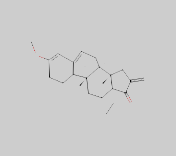 C=C1C[C@H]2[C@@H]3CC=C4C=C(OC)CC[C@@H]4[C@H]3CC[C@]2(CC)C1=O